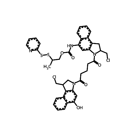 CC(COC(=O)Nc1cc2c(c3ccccc13)CC(CCl)N2C(=O)CCCC(=O)N1CC(CCl)c2c1cc(O)c1ccccc21)SSc1ccccn1